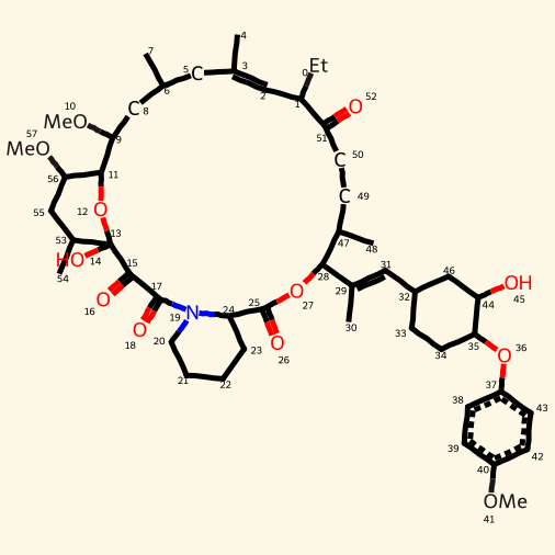 CCC1/C=C(\C)CC(C)CC(OC)C2OC(O)(C(=O)C(=O)N3CCCCC3C(=O)OC(C(C)=CC3CCC(Oc4ccc(OC)cc4)C(O)C3)C(C)CCC1=O)C(C)CC2OC